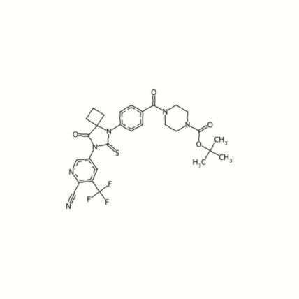 CC(C)(C)OC(=O)N1CCN(C(=O)c2ccc(N3C(=S)N(c4cnc(C#N)c(C(F)(F)F)c4)C(=O)C34CCC4)cc2)CC1